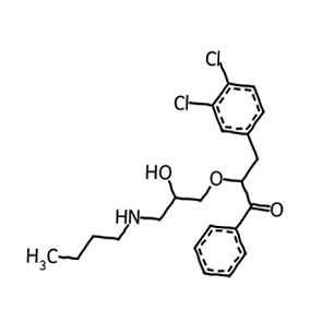 CCCCNCC(O)COC(Cc1ccc(Cl)c(Cl)c1)C(=O)c1ccccc1